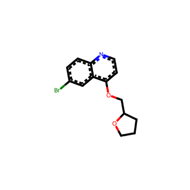 Brc1ccc2nccc(OCC3CCCO3)c2c1